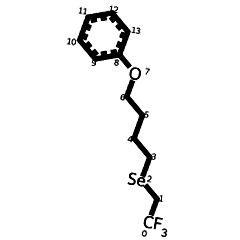 FC(F)(F)C[Se]CCCCOc1ccccc1